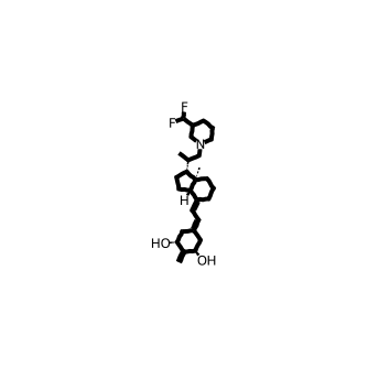 C=C1[C@H](O)CC(=CC=C2CCC[C@]3(C)[C@@H](C(C)CN4CCCC(C(F)F)C4)CC[C@@H]23)C[C@H]1O